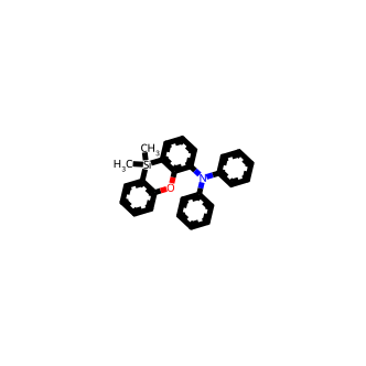 C[Si]1(C)c2ccccc2Oc2c(N(c3ccccc3)c3ccccc3)cccc21